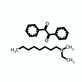 CCCCCCCCN(C)CC.O=C(C(=O)c1ccccc1)c1ccccc1